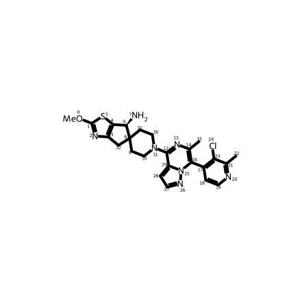 COc1nc2c(s1)[C@@H](N)C1(CCN(c3nc(C)c(-c4ccnc(C)c4Cl)n4nccc34)CC1)C2